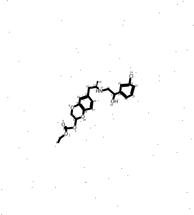 CCOC(=O)OC1COc2cc(C[C@@H](C)NCC(O)c3cccc(Cl)c3)ccc2O1